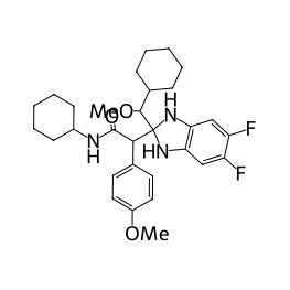 COc1ccc(C(C(=O)NC2CCCCC2)C2(C(OC)C3CCCCC3)Nc3cc(F)c(F)cc3N2)cc1